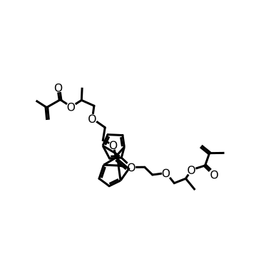 C=C(C)C(=O)OC(C)COCCOC1=CC2=CC=C1C2C1(C)C2=CC=C1C(OCCOCC(C)OC(=O)C(=C)C)=C2